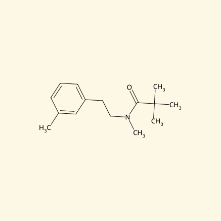 Cc1cccc(CCN(C)C(=O)C(C)(C)C)c1